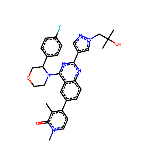 Cc1c(-c2ccc3nc(-c4cnn(CC(C)(C)O)c4)nc(N4CCOCC4c4ccc(F)cc4)c3c2)ccn(C)c1=O